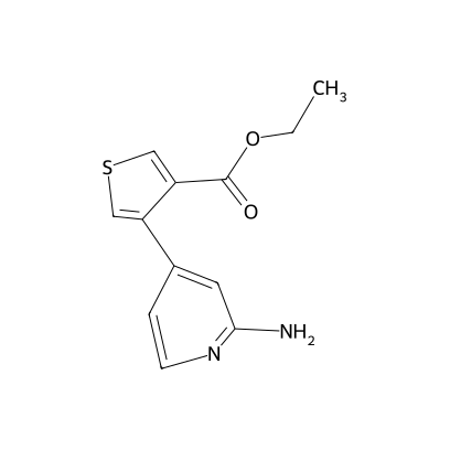 CCOC(=O)c1cscc1-c1ccnc(N)c1